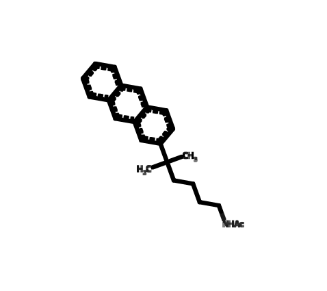 CC(=O)NCCCCC(C)(C)c1ccc2cc3ccccc3cc2c1